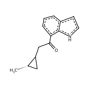 C[C@H]1CC1CC(=O)c1cccc2cc[nH]c12